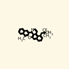 Cc1c2c(cc3ccccc13)-c1nccc3c1c(cc1cccc(CC(C)(C)C(F)(F)F)c13)O2